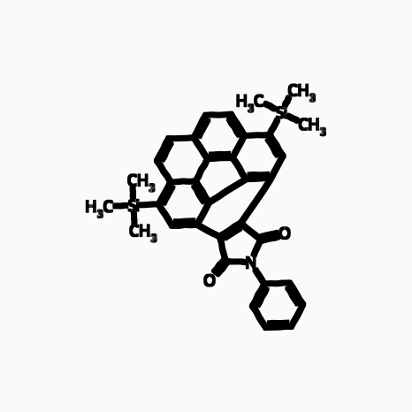 C[Si](C)(C)c1cc2c3c(=O)n(-c4ccccc4)c(=O)c3c3cc([Si](C)(C)C)c4ccc5ccc1c1c5c4c3c21